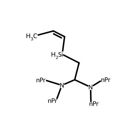 C/C=C\[SiH2]CC(N(CCC)CCC)N(CCC)CCC